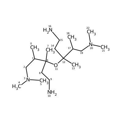 CC(CN(C)C)C(C)(CCN)OC(C)(CCN)C(C)CN(C)C